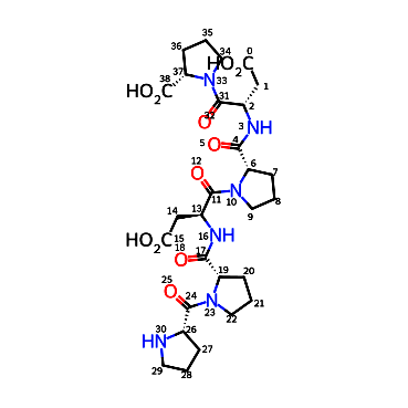 O=C(O)C[C@H](NC(=O)[C@@H]1CCCN1C(=O)[C@H](CC(=O)O)NC(=O)[C@@H]1CCCN1C(=O)[C@@H]1CCCN1)C(=O)N1CCC[C@H]1C(=O)O